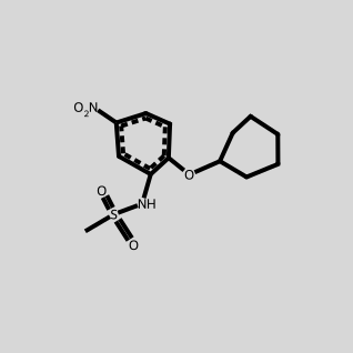 CS(=O)(=O)Nc1cc([N+](=O)[O-])ccc1OC1CCCCC1